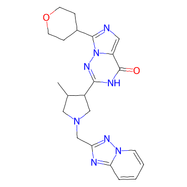 CC1CN(Cc2nc3ccccn3n2)CC1c1nn2c(C3CCOCC3)ncc2c(=O)[nH]1